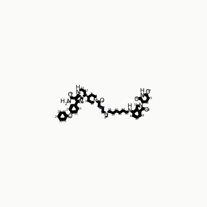 CN(C/C=C/C(=O)N1CCC([C@@H]2CCNc3c(C(N)=O)c(-c4ccc(Oc5ccccc5)cc4)nn32)CC1)CCCCCCNc1cccc2c1CN(C1CCC(=O)NC1=O)C2=O